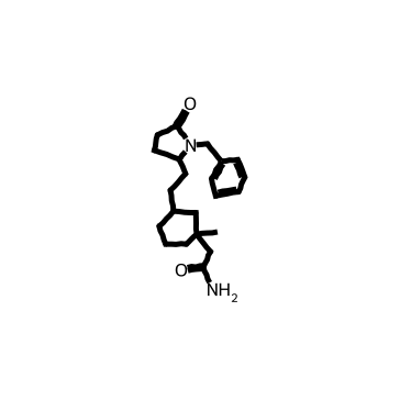 CC1(CC(N)=O)CCCC(CCC2CCC(=O)N2Cc2ccccc2)C1